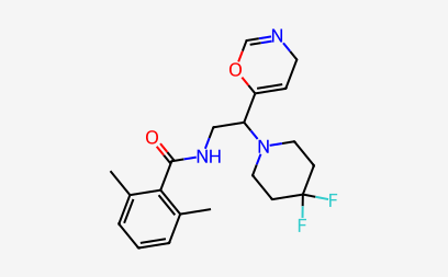 Cc1cccc(C)c1C(=O)NCC(C1=CCN=CO1)N1CCC(F)(F)CC1